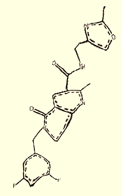 Cc1nc(CNC(=O)c2cc3c(=O)n(Cc4cc(F)cc(F)c4)ccc3nc2C)co1